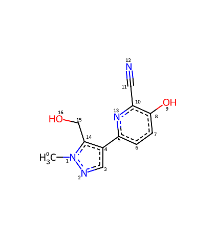 Cn1ncc(-c2ccc(O)c(C#N)n2)c1CO